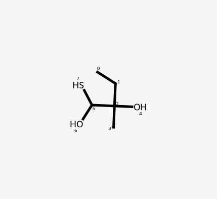 CCC(C)(O)C(O)S